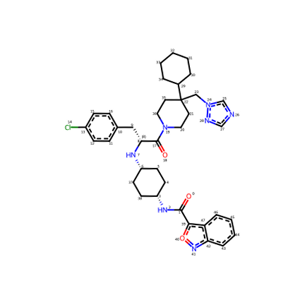 O=C(N[C@H]1CC[C@@H](N[C@H](Cc2ccc(Cl)cc2)C(=O)N2CCC(Cn3cncn3)(C3CCCCC3)CC2)CC1)c1onc2ccccc12